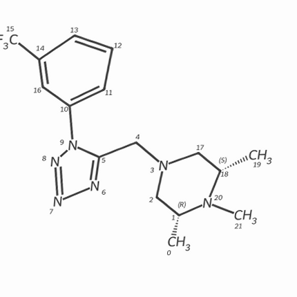 C[C@@H]1CN(Cc2nnnn2-c2cccc(C(F)(F)F)c2)C[C@H](C)N1C